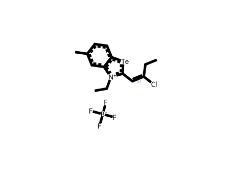 CC/C(Cl)=C\c1[te]c2ccc(C)cc2[n+]1CC.F[B-](F)(F)F